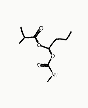 CCCC(OC(=O)NC)OC(=O)C(C)C